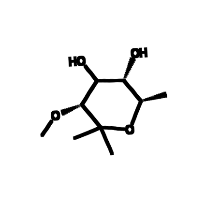 CO[C@@H]1C(O)[C@H](O)[C@H](C)OC1(C)C